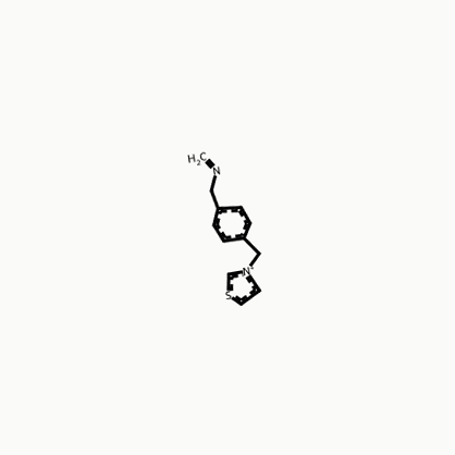 C=NCc1ccc(C[n+]2ccsc2)cc1